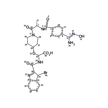 CC(NC(=O)c1ccc(/C(N)=N/O)cc1)C(=O)N1CCC(OC(NC(=O)C2=Nc3ccccc3C2Br)C(=O)O)CC1